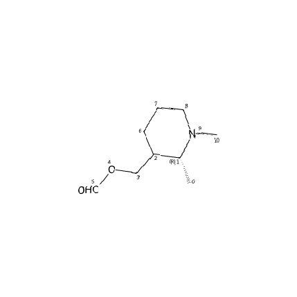 C[C@@H]1C(COC=O)CCCN1C